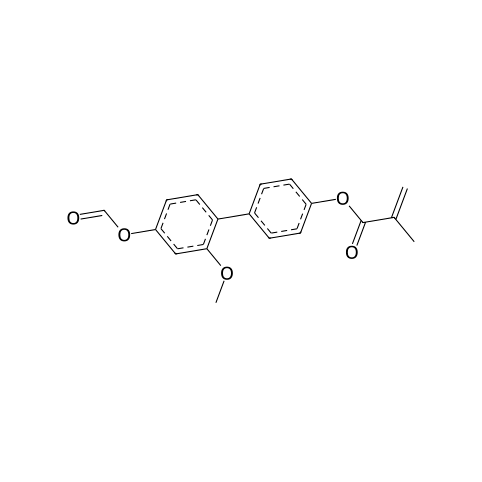 C=C(C)C(=O)Oc1ccc(-c2ccc(OC=O)cc2OC)cc1